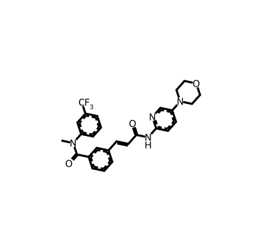 CN(C(=O)c1cccc(C=CC(=O)Nc2ccc(N3CCOCC3)cn2)c1)c1cccc(C(F)(F)F)c1